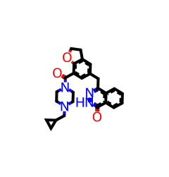 O=C(c1cc(Cc2n[nH]c(=O)c3ccccc23)cc2c1OCC2)N1CCN(CC2CC2)CC1